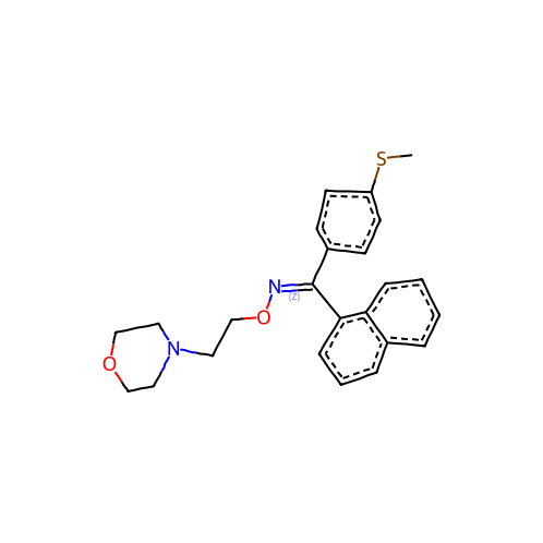 CSc1ccc(/C(=N/OCCN2CCOCC2)c2cccc3ccccc23)cc1